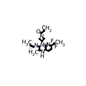 C=CC(=O)N1CC(N/C(=N/C=C\C)C(=C)Nc2ccc(C(C)(F)F)nc2)C1